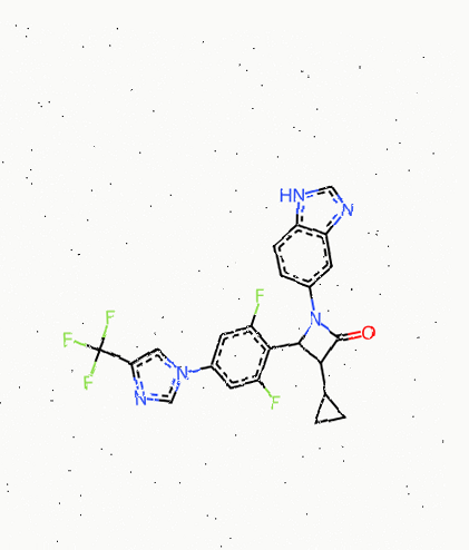 O=C1C(C2CC2)C(c2c(F)cc(-n3cnc(C(F)(F)F)c3)cc2F)N1c1ccc2[nH]cnc2c1